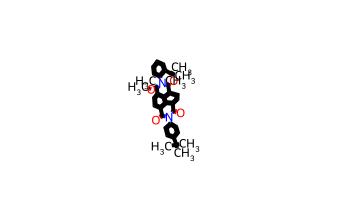 COC1(C)c2ccc3c4c(ccc(c24)C(=O)N1c1ccccc1C(C)(C)C)C(=O)N(c1ccc(C(C)(C)C)cc1)C3=O